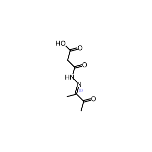 CC(=O)/C(C)=N/NC(=O)CC(=O)O